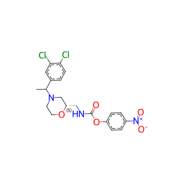 CC(c1ccc(Cl)c(Cl)c1)N1CCO[C@@H](CNC(=O)Oc2ccc([N+](=O)[O-])cc2)C1